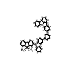 CC1(C)c2ccccc2-c2ccc(-n3c4ccccc4c4cc(-c5cccc(-c6ccc7c8cccc9c%10ccccc%10n(c7c6)c98)n5)ccc43)cc21